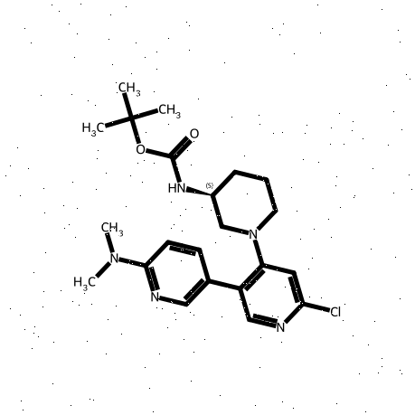 CN(C)c1ccc(-c2cnc(Cl)cc2N2CCC[C@H](NC(=O)OC(C)(C)C)C2)cn1